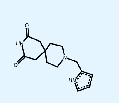 O=C1CC2(CCN(Cc3ccc[nH]3)CC2)CC(=O)N1